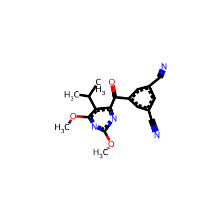 COc1nc(OC)c(C(C)C)c(C(=O)c2cc(C#N)cc(C#N)c2)n1